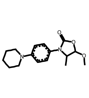 COC1OC(=O)N(c2ccc(N3CCCCC3)cc2)C1C